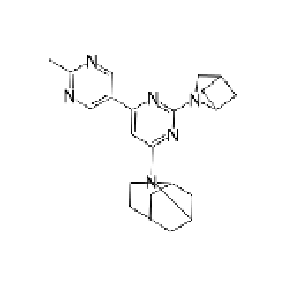 Cc1ncc(-c2cc(N3C4CC5CC(C4)CC3C5)nc(N3CC4CC3C4)n2)cn1